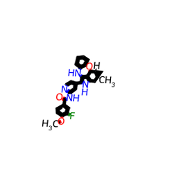 COc1ccc(C(=O)Nc2cc(-c3[nH]c4c(c3Nc3ccccc3)C(=O)[C@H]3C[C@@]3(C)C4)ccn2)cc1F